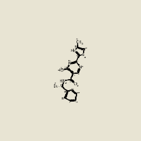 CC[C@H](NC(=O)c1cnc(-c2nc(C)cs2)nc1O)c1ccccc1